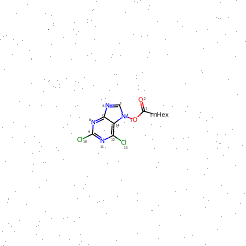 CCCCCCC(=O)On1cnc2nc(Cl)nc(Cl)c21